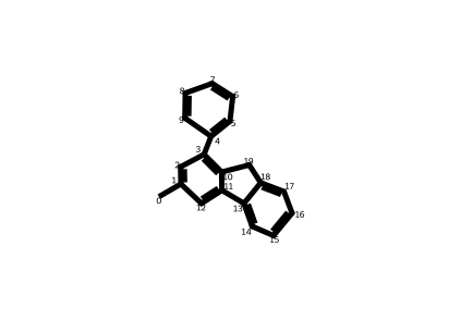 Cc1cc(-c2ccccc2)c2c(c1)-c1ccccc1C2